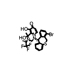 C[C@@H](N1CN([C@@H]2c3ccccc3SCc3c(Br)cccc32)n2ccc(=O)c(O)c2C1(C)O)C(F)(F)F